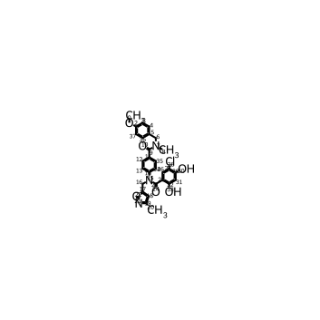 COc1ccc(CN(C)C(=O)c2ccc(N(Cc3cc(C)no3)C(=O)c3cc(Cl)c(O)cc3O)cc2)cc1